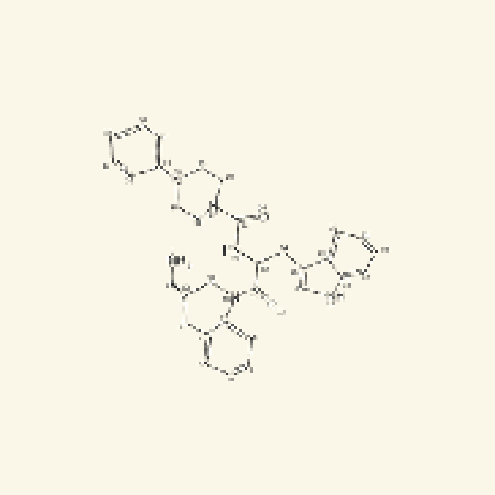 NC[C@@H]1Cc2ccccc2N(C(=O)C(Cc2c[nH]c3ccccc23)NC(=O)N2CCN(c3ccccc3)CC2)C1